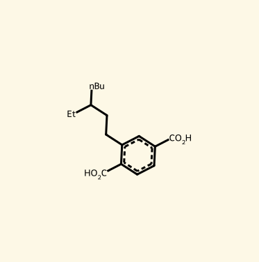 CCCCC(CC)CCc1cc(C(=O)O)ccc1C(=O)O